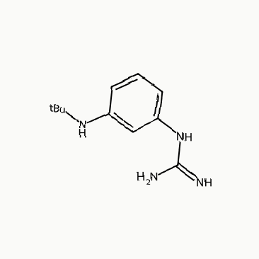 CC(C)(C)Nc1cccc(NC(=N)N)c1